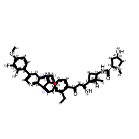 CCc1cc(C(=N)/C2=C\C/C=C\C=C3\CC(c4ccc(OC)c(F)c4F)=CN=C32)ccc1C(=O)CC(=N)C12CC(NC(=O)[C@@H]3C[C@@H](O)CN3C)(C1)[C@@H]2C